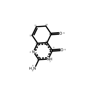 Nc1nc2c(c(=O)[nH]1)C(=O)CC=C2